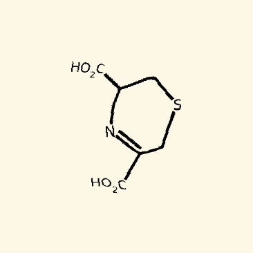 O=C(O)C1=NC(C(=O)O)CSC1